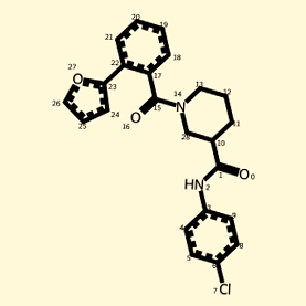 O=C(Nc1ccc(Cl)cc1)C1CCCN(C(=O)c2ccccc2-c2ccco2)C1